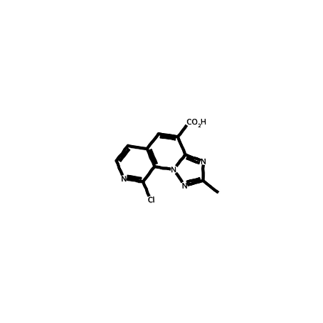 Cc1nc2c(C(=O)O)cc3ccnc(Cl)c3n2n1